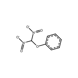 O=[N+]([O-])[C](Oc1ccccc1)[N+](=O)[O-]